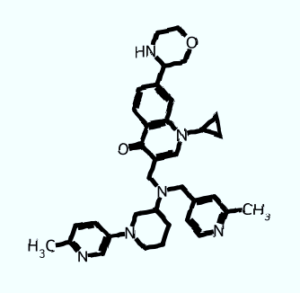 Cc1ccc(N2CCCC(N(Cc3ccnc(C)c3)Cc3cn(C4CC4)c4cc(C5COCCN5)ccc4c3=O)C2)cn1